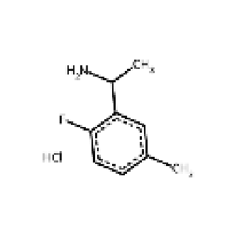 Cc1ccc(F)c(C(C)N)c1.Cl